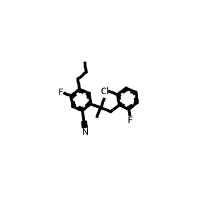 CCCc1cc(C(C)(C)Cc2c(F)cccc2Cl)c(C#N)cc1F